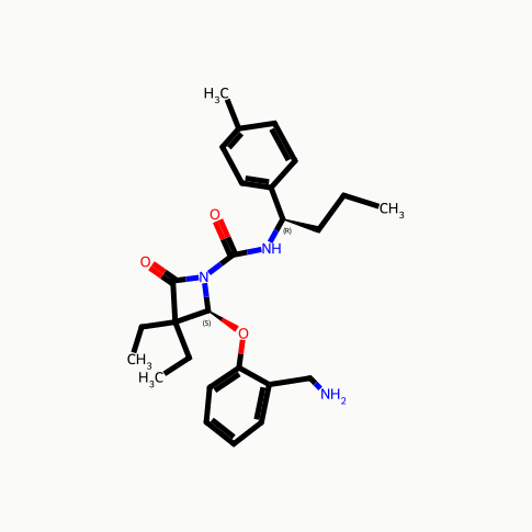 CCC[C@@H](NC(=O)N1C(=O)C(CC)(CC)[C@@H]1Oc1ccccc1CN)c1ccc(C)cc1